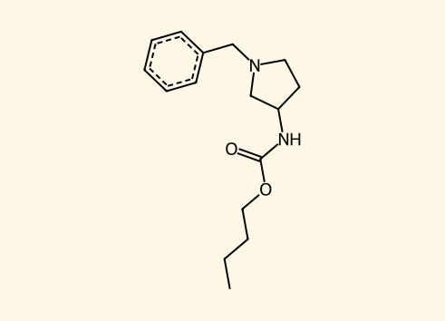 CCCCOC(=O)NC1CCN(Cc2ccccc2)C1